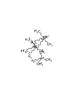 CCCC[N+](CCCC)(CCCC)CCCC.CCCC[N+](CCCC)(CCCC)CCCC.CCC[N+](CCC)(CCC)CCC.[Br-].[Br-].[I-]